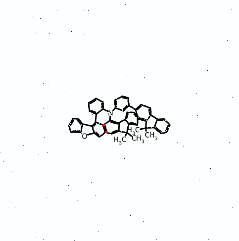 CC1(C)c2ccccc2-c2ccc(-c3cccc(N(c4ccccc4-c4cccc5oc6ccccc6c45)c4cccc5c4-c4ccccc4C5(C)C)c3)cc21